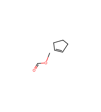 C1=CCCC1.COC=O